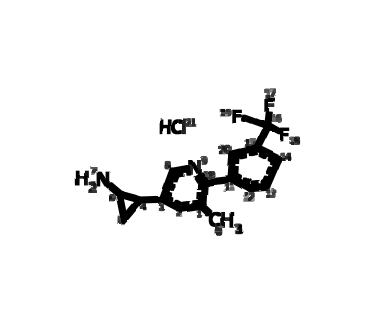 Cc1cc(C2CC2N)cnc1-c1cccc(C(F)(F)F)c1.Cl